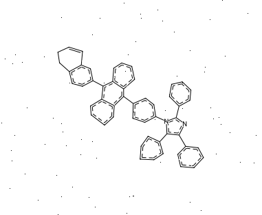 C1=Cc2cc(-c3c4ccccc4c(-c4ccc(-n5c(-c6ccccc6)nc(-c6ccccc6)c5-c5ccccc5)cc4)c4ccccc34)ccc2CC1